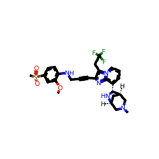 COc1cc(S(C)(=O)=O)ccc1NCC#Cc1nc2c([C@H]3N[C@H]4C[C@@H]3CN(C)C4)cccn2c1CC(F)(F)F